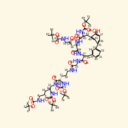 CC(C)(C)OC(=O)NCCC[C@@H](CNC(=O)[C@H](CCCNC(=O)CNC(=O)[C@@H]1Cc2cccc(c2)-c2ccc(O)c(c2)C[C@H](NC(=O)OC(C)(C)C)C(=O)N[C@@H](C[C@@H](O)CNC(=O)OC(C)(C)C)C(=O)N1)NC(=O)OC(C)(C)C)NC(=O)OC(C)(C)C